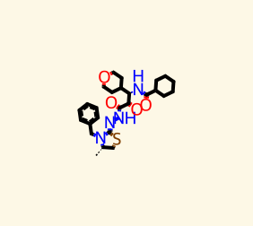 C[C@H]1CS/C(=N\NC(=O)C(=O)[C@@H](NC(=O)C2CCCCC2)C2CCOCC2)N1Cc1ccccc1